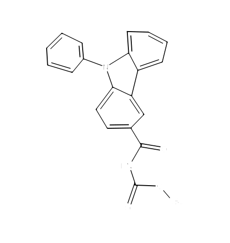 CC(C)(C)OC(=O)NC(=O)c1ccc2c(c1)c1ccccc1n2-c1ccccc1